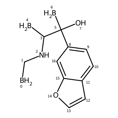 BCNC(B)C(B)(O)c1ccc2ccoc2c1